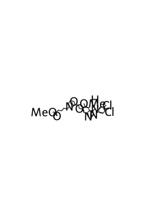 COC(=O)CCCCN1CCOC(COc2cc3ncnc(Nc4ccc(Cl)c(Cl)c4)c3cc2OC)C1